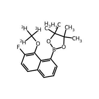 [2H]C([2H])([2H])Oc1c(F)ccc2cccc(B3OC(C)(C)C(C)(C)O3)c12